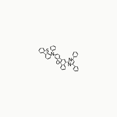 c1ccc(-c2cc(-c3ccccc3)nc(-c3cc4c5ccc(N(c6ccccc6)c6cccc7c6sc6ccccc67)cc5oc4c4ccccc34)n2)cc1